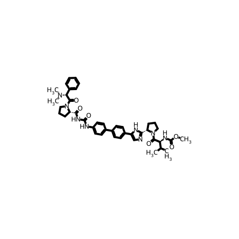 COC(=O)N[C@H](C(=O)N1CCC[C@H]1c1ncc(-c2ccc(-c3ccc(NC(=O)NC(=O)[C@@H]4CCCN4C(=O)[C@@H](c4ccccc4)N(C)C)cc3)cc2)[nH]1)C(C)C